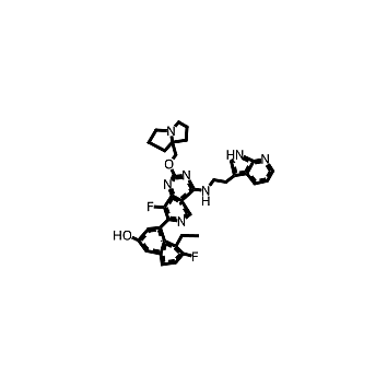 CCc1c(F)ccc2cc(O)cc(-c3ncc4c(NCCc5c[nH]c6ncccc56)nc(OCC56CCCN5CCC6)nc4c3F)c12